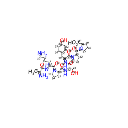 C[C@H](N)C(=O)N[C@@H](CCCCN)C(=O)N1CCC[C@H]1C(=O)N[C@@H](CO)C(=O)N[C@@H](Cc1ccc(O)cc1)C(=O)N1CCC[C@H]1C(=O)N1CCC[C@H]1C(=O)O